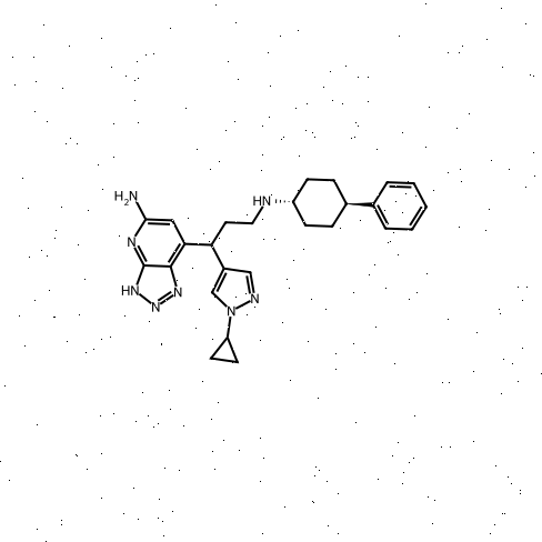 Nc1cc(C(CCN[C@H]2CC[C@H](c3ccccc3)CC2)c2cnn(C3CC3)c2)c2nn[nH]c2n1